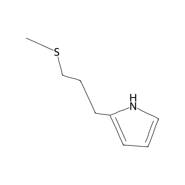 CSCCCc1ccc[nH]1